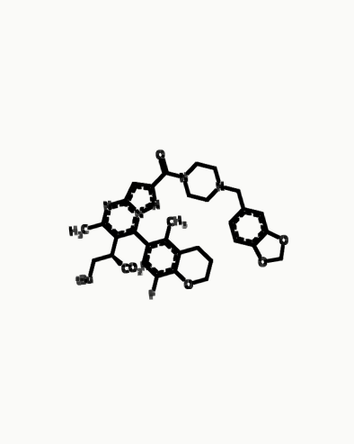 Cc1nc2cc(C(=O)N3CCN(Cc4ccc5c(c4)OCO5)CC3)nn2c(-c2cc(F)c3c(c2C)CCCO3)c1[C@H](CC(C)(C)C)C(=O)O